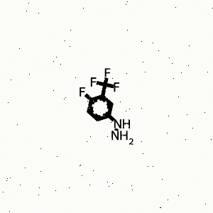 NNc1ccc(F)c(C(F)(F)F)c1